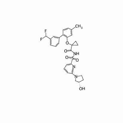 Cc1ccc(-c2cccc(C(F)F)c2)c(OC2(C(=O)NS(=O)(=O)c3cccc(N4CC[C@H](O)C4)n3)CC2)c1